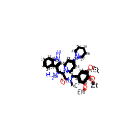 CCOc1cc(CN(C(C)=O)C(=O)C(C(N)c2c[nH]c3ccccc23)N2CCC(N3CCCCC3)CC2)cc(OCC)c1OCC